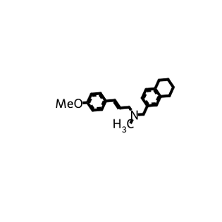 COc1ccc(/C=C/CN(C)Cc2ccc3c(c2)CCCC3)cc1